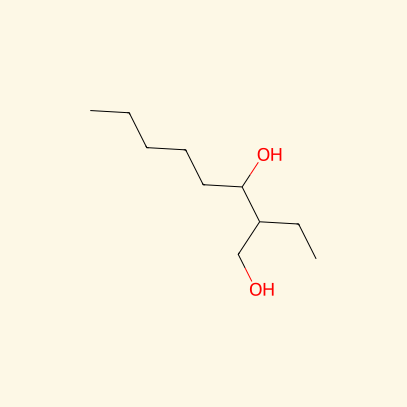 CCCCCC(O)C(CC)CO